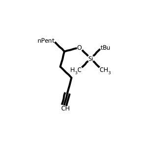 C#CCCC(CCCCC)O[Si](C)(C)C(C)(C)C